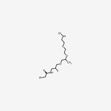 CCNCCOCCOC(C)COCC(F)CNC(=O)CC(C)C